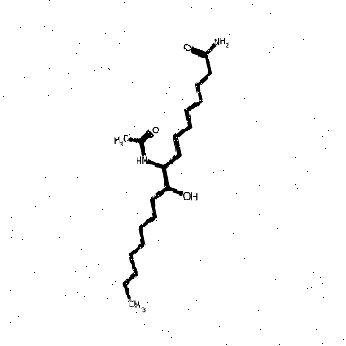 CCCCCCCCC(O)C(CCCCCCCC(N)=O)NC(C)=O